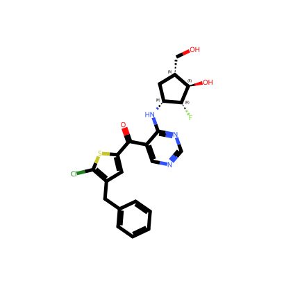 O=C(c1cc(Cc2ccccc2)c(Cl)s1)c1cncnc1N[C@@H]1C[C@H](CO)[C@@H](O)[C@@H]1F